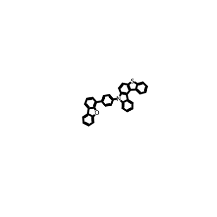 c1ccc2c(c1)oc1c(-c3ccc(-n4c5ccccc5c5c6c(ccc54)sc4ccccc46)cc3)cccc12